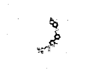 Cc1nc(NCCCS(C)(=O)=O)ccc1-c1cccc(COc2ccc3c(c2)CC2CC32)c1